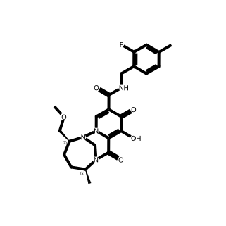 COC[C@@H]1CC[C@H](C)N2CN1n1cc(C(=O)NCc3ccc(C)cc3F)c(=O)c(O)c1C2=O